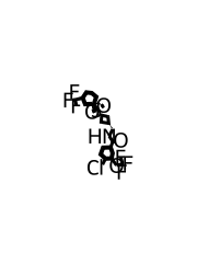 O=C(NC[C@H]1C[C@H](S(=O)(=O)c2cccc(C(F)(F)F)c2)C1)c1ccc(Cl)c(OC(F)(F)F)c1